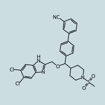 CS(=O)(=O)N1CCC(C(OCc2nc3cc(Cl)c(Cl)cc3[nH]2)c2ccc(-c3cccc(C#N)c3)cc2)CC1